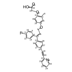 Cc1cc(OCC=C(c2ccc(F)cc2)c2ccc(C#Cc3ccccn3)cc2)ccc1OCC(=O)O